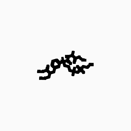 COCC(Cc1cccc([C@@](C)(CCCC(C)(C)CS(=O)(=O)CCO)C(=O)NN(C)C(=O)OC(C)(C)C)c1)C(=O)OC